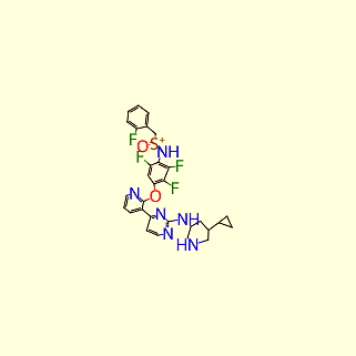 [O-][S+](Cc1ccccc1F)Nc1c(F)cc(Oc2ncccc2-c2ccnc(NC3CNCC(C4CC4)C3)n2)c(F)c1F